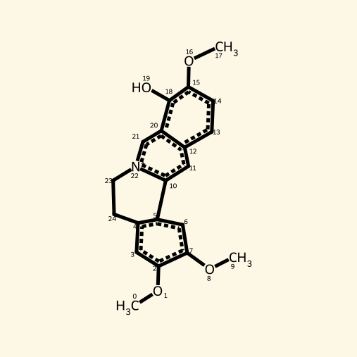 COc1cc2c(cc1OC)-c1cc3ccc(OC)c(O)c3c[n+]1CC2